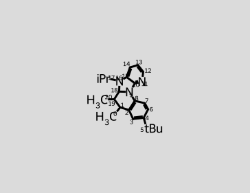 CC1c2cc(C(C)(C)C)ccc2N2c3ncccc3N(C(C)C)C2C1C